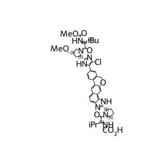 CC[C@H](C)[C@H](NC(=O)OC)C(=O)N1C[C@@H](COC)C[C@H]1c1nc(Cl)c(-c2ccc3c(c2)COc2cc4c(ccc5nc([C@@H]6CC[C@H](C)N6C(=O)[C@@H](NC(=O)O)C(C)C)[nH]c54)cc2-3)[nH]1